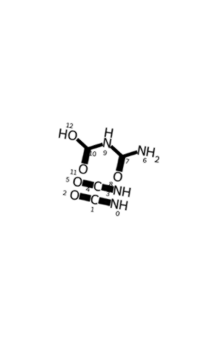 N=C=O.N=C=O.NC(=O)NC(=O)O